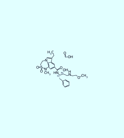 CCc1cn2c3c(cc(C(=O)N[C@@H](Cc4ccccc4)[C@H](O)CNCCOC)cc13)N(C)S(=O)(=O)CC2.O=CO